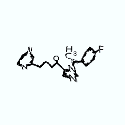 C[C@H](c1ccc(F)cc1)n1cncc1C(=O)CCCc1cnccn1